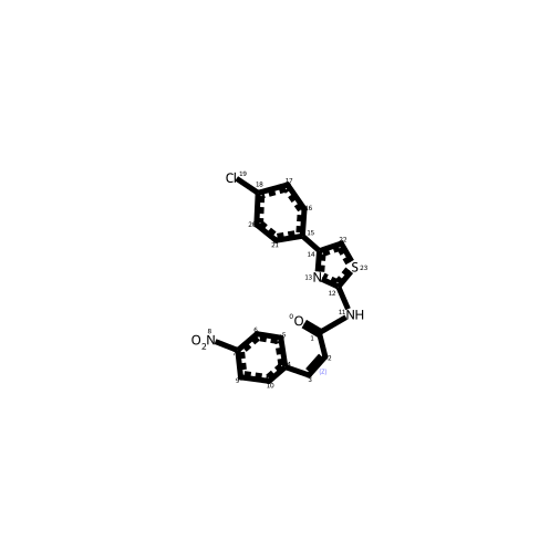 O=C(/C=C\c1ccc([N+](=O)[O-])cc1)Nc1nc(-c2ccc(Cl)cc2)cs1